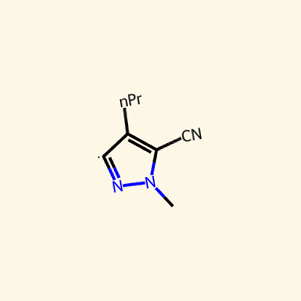 CCCc1[c]nn(C)c1C#N